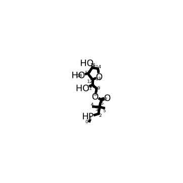 CPCC(C)(C)C(=O)OCC(O)C1OCC(O)C1O